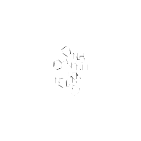 O=C1Nc2ccccc2C(c2ccccc2)=NC1Nc1nnc(-c2cnccc2N2CCCCC2)o1